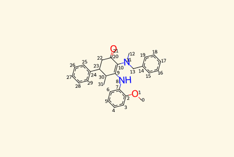 COc1ccccc1NC1=C(N(C)Cc2ccccc2)C(=O)CC(c2ccccc2)C1C